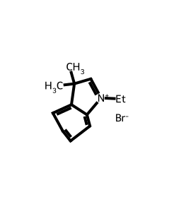 CC[N+]1=CC(C)(C)c2ccccc21.[Br-]